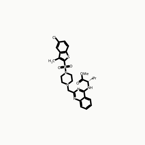 COC(=O)[C@@H](Nc1nc(CN2CCN(S(=O)(=O)c3sc4ccc(Cl)cc4c3C)CC2)nc2ccccc12)C(C)C